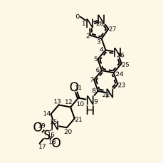 Cn1cc(-c2cc3cc(NC(=O)C4CCN(S(C)(=O)=O)CC4)ncc3cn2)cn1